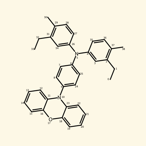 CCc1cc(N(c2ccc(N3c4ccccc4Oc4ccccc43)cc2)c2ccc(C)c(CC)c2)ccc1C